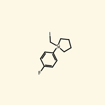 Fc1ccc([Si]2(CI)CCCC2)cc1